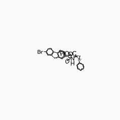 O=C(O)[C@@]1(NS(=O)(=O)c2ccc3c(c2)Cc2cc(Br)ccc2-3)C[C@H]1c1ccccc1